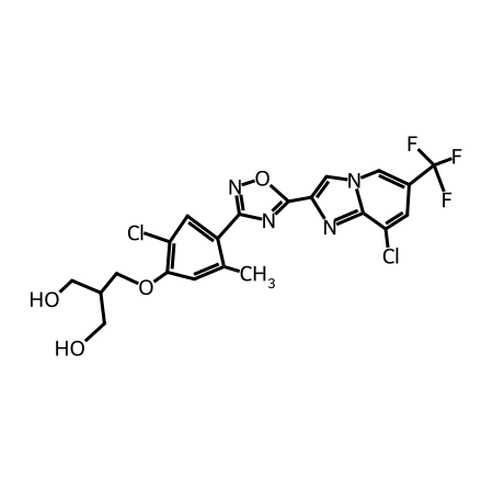 Cc1cc(OCC(CO)CO)c(Cl)cc1-c1noc(-c2cn3cc(C(F)(F)F)cc(Cl)c3n2)n1